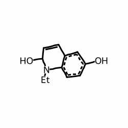 CCN1c2ccc(O)cc2C=CC1O